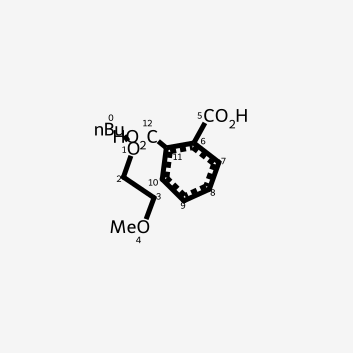 CCCCOCCOC.O=C(O)c1ccccc1C(=O)O